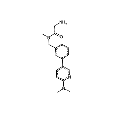 CN(Cc1cccc(-c2ccc(N(C)C)nc2)c1)C(=O)CN